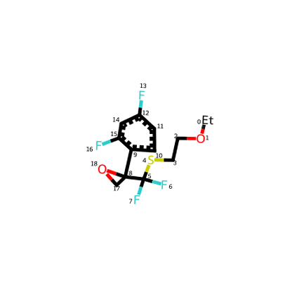 CCOCCSC(F)(F)C1(c2ccc(F)cc2F)CO1